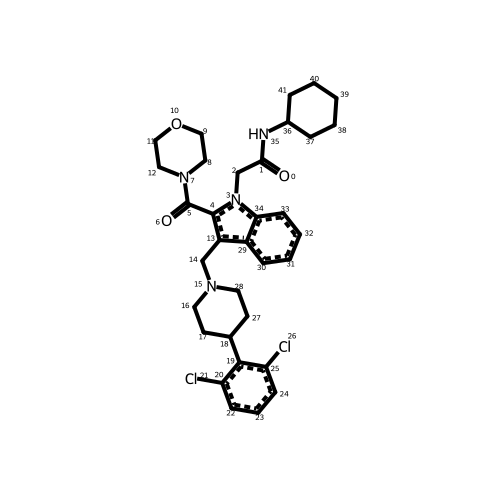 O=C(Cn1c(C(=O)N2CCOCC2)c(CN2CCC(c3c(Cl)cccc3Cl)CC2)c2ccccc21)NC1CCCCC1